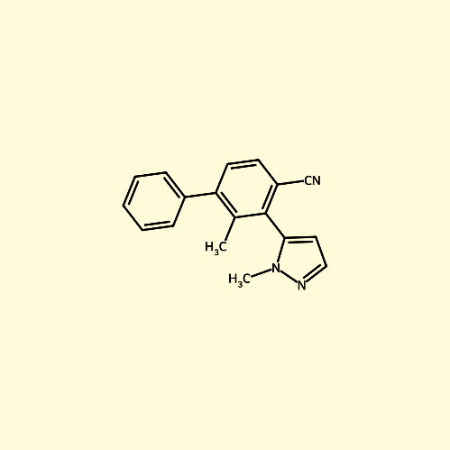 Cc1c(-c2ccccc2)ccc(C#N)c1-c1ccnn1C